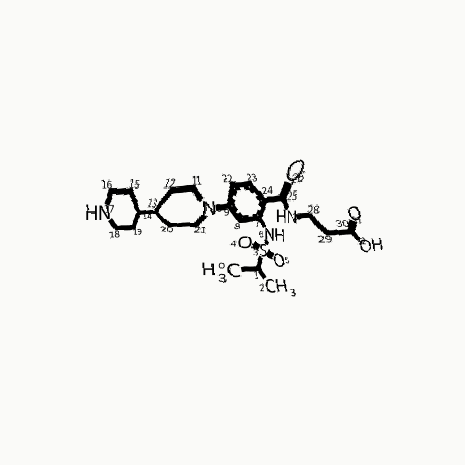 CC(C)S(=O)(=O)Nc1cc(N2CCC(C3CCNCC3)CC2)ccc1C(=O)NCCC(=O)O